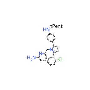 CCCCCNc1ccc(-c2ccc(-c3ccccc3Cl)n2Cc2cccc(N)n2)cc1